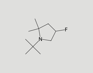 CC(C)(C)N1CC(F)CC1(C)C